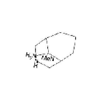 CNC1(N)C2CCCC1CNC2